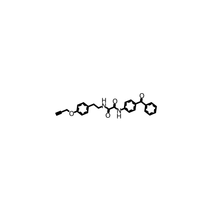 C#CCOc1ccc(CCNC(=O)C(=O)Nc2ccc(C(=O)c3ccccc3)cc2)cc1